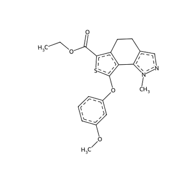 CCOC(=O)c1sc(Oc2cccc(OC)c2)c2c1CCc1cnn(C)c1-2